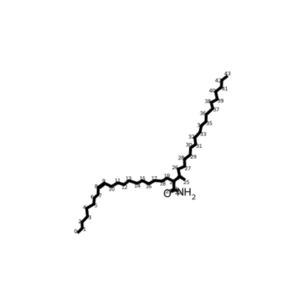 CCCCCCCC/C=C\CCCCCCCCCCC(C(N)=O)C(C)CCCCCCCCCCCCCCCCCC